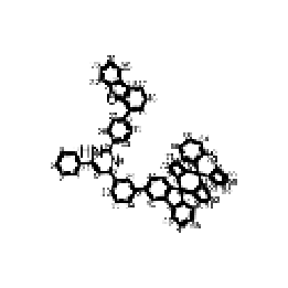 C1=C(c2ccccc2)NC(c2ccc(-c3cccc4c3oc3ccccc34)cc2)N=C1c1cccc(-c2ccc3c(c2)-c2ccccc2C32c3ccccc3C3(c4ccccc4Sc4ccccc43)c3ccccc32)c1